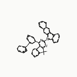 CC1(C)c2ccccc2-c2c(-c3cccc(-c4ccccc4)c3)nc(-n3c4ccccc4c4cc5ccccc5cc43)nc21